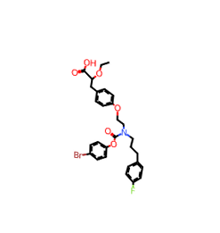 CCOC(Cc1ccc(OCCN(CCCc2ccc(F)cc2)C(=O)Oc2ccc(Br)cc2)cc1)C(=O)O